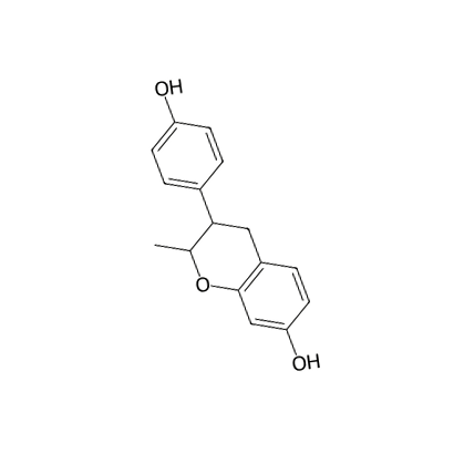 CC1Oc2cc(O)ccc2CC1c1ccc(O)cc1